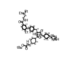 CCc1ccc(C(=O)NCCN(CC)CC)cc1-c1ccc(C[C@H](NC(=O)[C@H]2CC[C@H](CNC(=O)OC(C)(C)C)CC2)C(=O)Nc2ccc(-c3nn[nH]n3)cc2)cc1